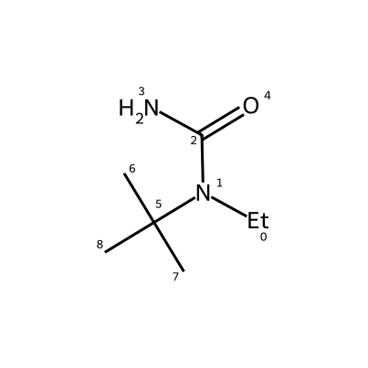 CCN(C(N)=O)C(C)(C)C